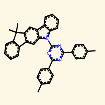 Cc1ccc(-c2nc(-c3ccc(C)cc3)nc(-n3c4ccccc4c4cc5c(cc43)-c3ccccc3C5(C)C)n2)cc1